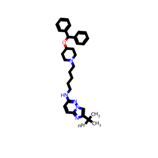 CCCC(C)(C)c1cn2nc(NCCCCCN3CCC(OC(c4ccccc4)c4ccccc4)CC3)ccc2n1